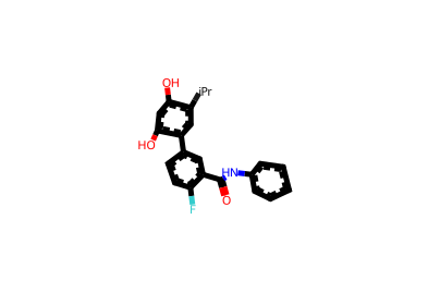 CC(C)c1cc(-c2ccc(F)c(C(=O)Nc3ccccc3)c2)c(O)cc1O